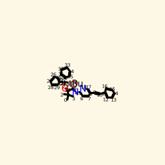 CC1(C)CN(c2ccc(C#Cc3ccccc3)cn2)C(=O)C1O[Si](c1ccccc1)(c1ccccc1)C(C)(C)C